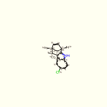 CCOC(=O)[C@@]1(C)c2c([nH]c3ccc(Cl)cc23)[C@H]2C=C[C@@H]1CC2